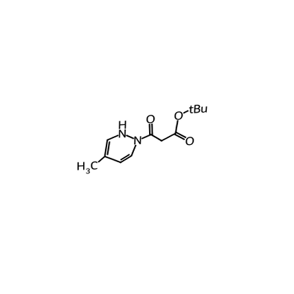 CC1=CNN(C(=O)CC(=O)OC(C)(C)C)C=C1